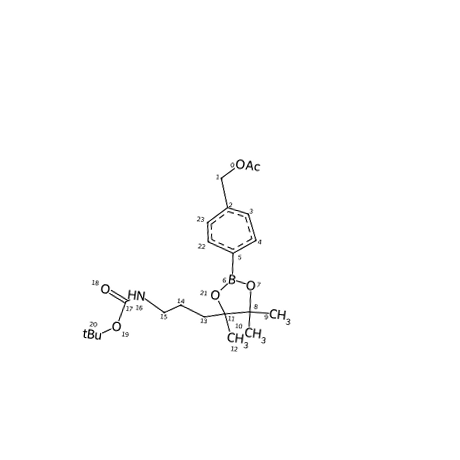 CC(=O)OCc1ccc(B2OC(C)(C)C(C)(CCCNC(=O)OC(C)(C)C)O2)cc1